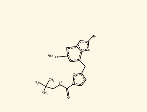 CC(C)c1cc2cc(Cl)cc(Cc3ccc(C(=O)NCC(C)(C)N)o3)c2o1.Cl